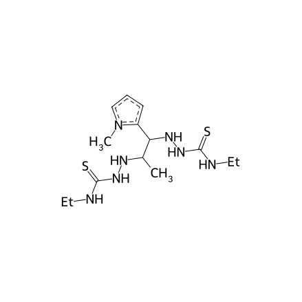 CCNC(=S)NNC(C)C(NNC(=S)NCC)c1cccn1C